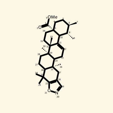 COC(=O)[C@]12CC[C@@H](C)[C@H](C)C1C1=CCC3[C@@]4(C)Cc5cnoc5C(C)(C)C4CC[C@@]3(C)[C@]1(C)CC2